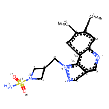 COc1cc2ncc3cnn(CC4CN(S(N)(=O)=O)C4)c3c2cc1OC